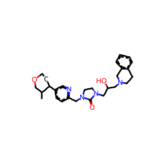 CC1COCCC1c1ccc(CN2CCN(CC(O)CN3CCc4ccccc4C3)C2=O)nc1